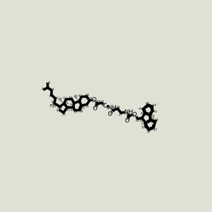 CC(C)CCC[C@@H](C)[C@H]1CCC2C3CC=C4CC(OC(=O)CCNC(=O)CCNC(=O)OCC5c6ccccc6-c6ccccc65)CC[C@]4(C)C3CC[C@@]21C